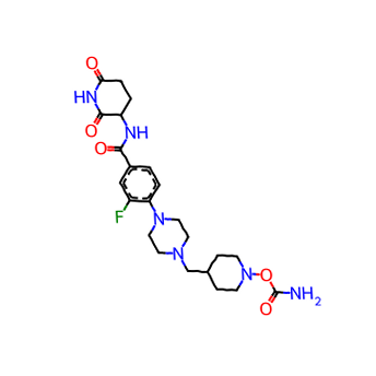 NC(=O)ON1CCC(CN2CCN(c3ccc(C(=O)NC4CCC(=O)NC4=O)cc3F)CC2)CC1